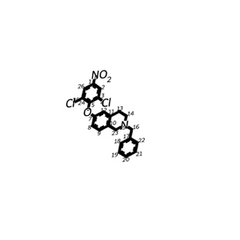 O=[N+]([O-])c1cc(Cl)c(Oc2ccc3c(c2)CCN(Cc2ccccc2)C3)c(Cl)c1